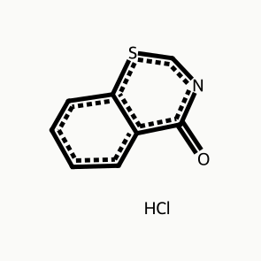 Cl.O=c1ncsc2ccccc12